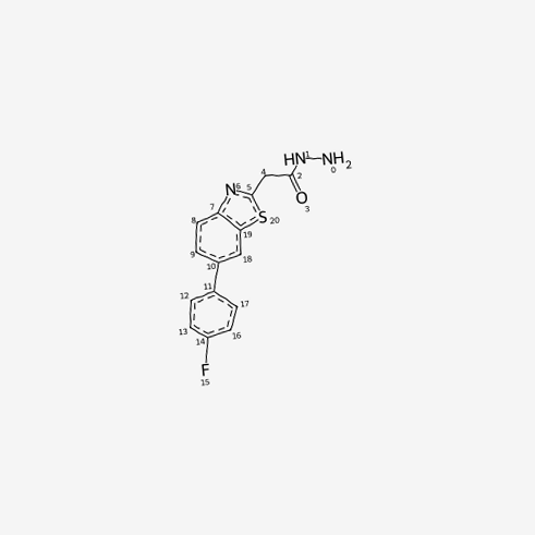 NNC(=O)Cc1nc2ccc(-c3ccc(F)cc3)cc2s1